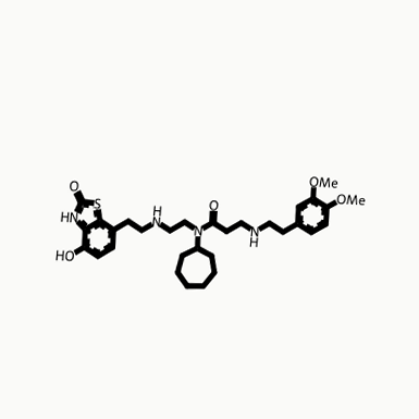 COc1ccc(CCNCCC(=O)N(CCNCCc2ccc(O)c3[nH]c(=O)sc23)C2CCCCCC2)cc1OC